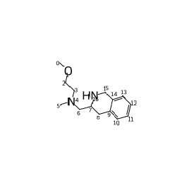 COCCN(C)CC1Cc2ccccc2CN1